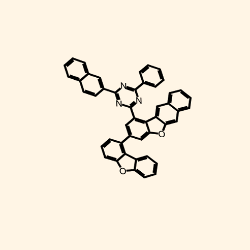 c1ccc(-c2nc(-c3ccc4ccccc4c3)nc(-c3cc(-c4cccc5oc6ccccc6c45)cc4oc5cc6ccccc6cc5c34)n2)cc1